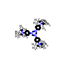 CC(C)(C)N(c1ccc(N2CN(c3ccc(N(C(C)(C)C)C(C)(C)C)cc3)CN(c3ccc(N(C(C)(C)C)C(C)(C)C)cc3)C2)cc1)C(C)(C)C